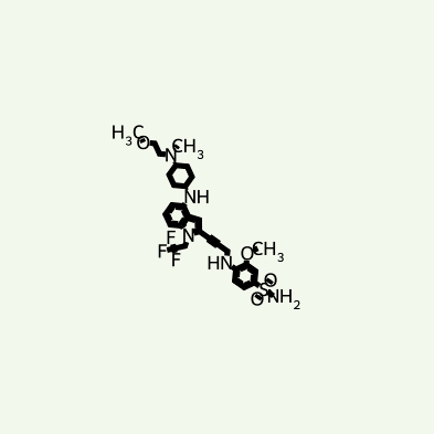 COCCN(C)[C@H]1CC[C@@H](Nc2cccc3c2cc(C#CCNc2ccc(S(N)(=O)=O)cc2OC)n3CC(F)(F)F)CC1